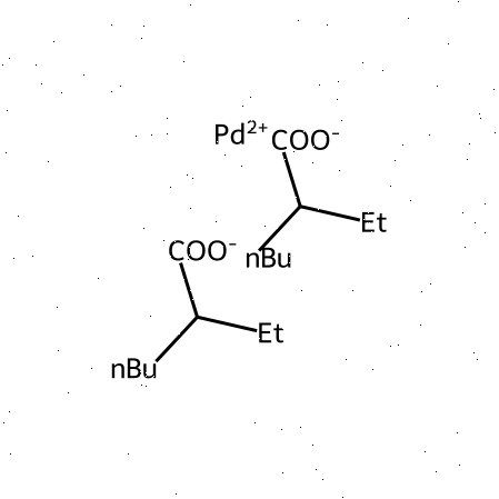 CCCCC(CC)C(=O)[O-].CCCCC(CC)C(=O)[O-].[Pd+2]